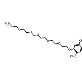 NCCOCCOCOCCOCCOCCOc1cc(C=O)ccc1C=O